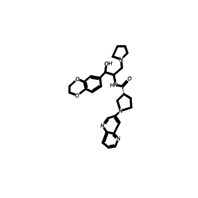 O=C(NC(CN1CCCC1)C(O)c1ccc2c(c1)OCCO2)[C@@H]1CCN(c2cnc3cccnc3c2)C1